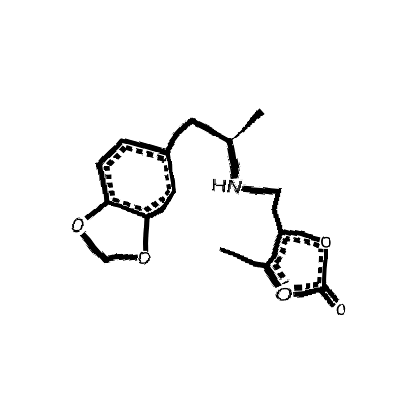 Cc1oc(=O)oc1CN[C@H](C)Cc1ccc2c(c1)OCO2